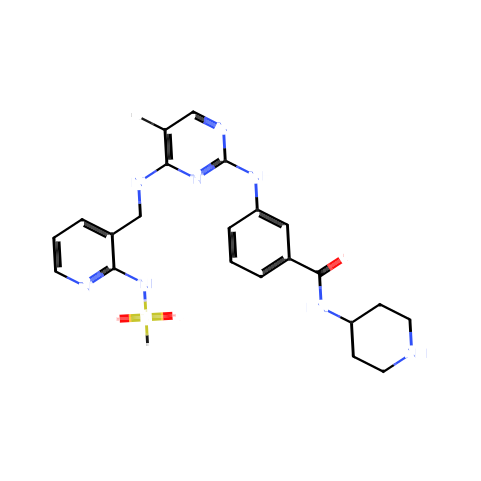 CCS(=O)(=O)Nc1ncccc1CNc1nc(Nc2cccc(C(=O)NC3CCNCC3)c2)ncc1C(F)(F)F